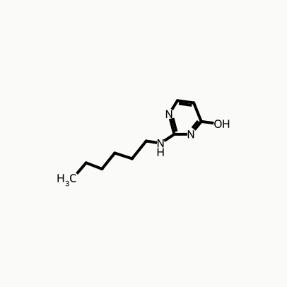 CCCCCCNc1nccc(O)n1